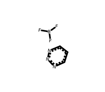 FB(F)F.c1cnnnc1